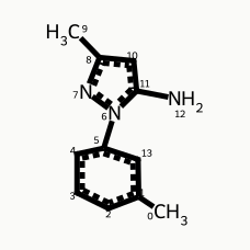 Cc1cccc(-n2nc(C)cc2N)c1